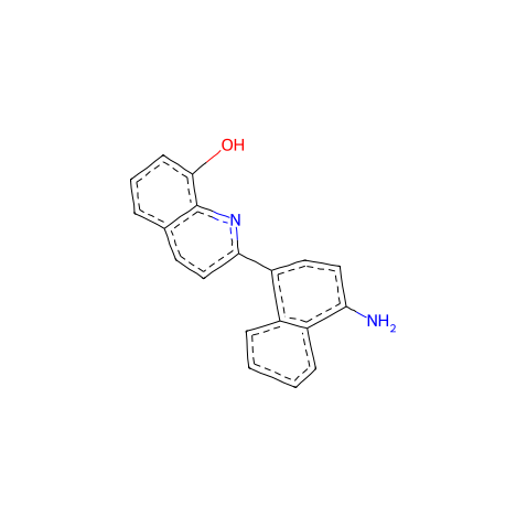 Nc1ccc(-c2ccc3cccc(O)c3n2)c2ccccc12